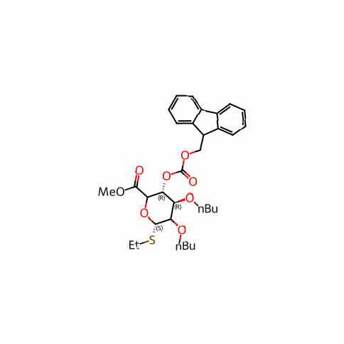 CCCCOC1[C@H](SCC)OC(C(=O)OC)[C@H](OC(=O)OCC2c3ccccc3-c3ccccc32)[C@H]1OCCCC